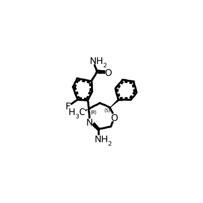 C[C@]1(c2cc(C(N)=O)ccc2F)C[C@@H](c2ccccc2)OCC(N)=N1